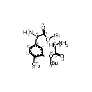 CC(C)(C)OC(=O)N(N)c1ccc(C(F)(F)F)cc1.CC(C)(C)OC(=O)NN